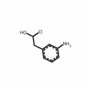 Nc1cccc(CC(O)Cl)c1